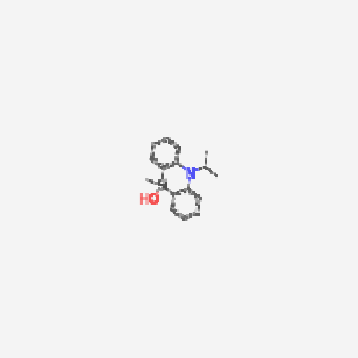 CC(C)N1c2ccccc2[Si](C)(O)c2ccccc21